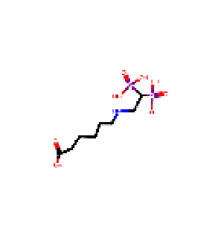 O=C(O)CCCCCNCC(P(=O)(O)O)P(=O)(O)O